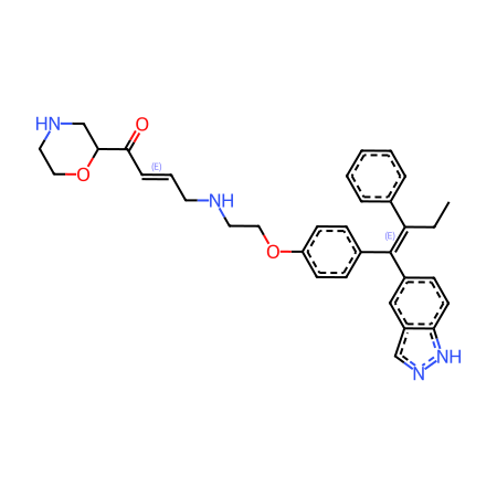 CC/C(=C(/c1ccc(OCCNC/C=C/C(=O)C2CNCCO2)cc1)c1ccc2[nH]ncc2c1)c1ccccc1